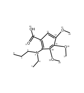 CCCN(CC)c1c(C(=O)O)cc(OC)c(OC)c1OC